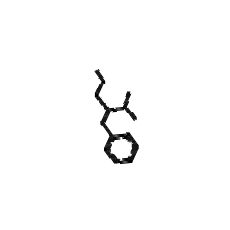 CCCC(Cc1ccccc1)C(C)C